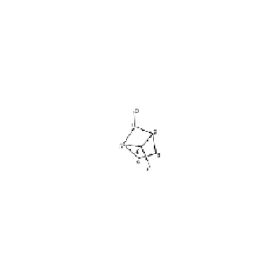 CC1C2CCC1C2C